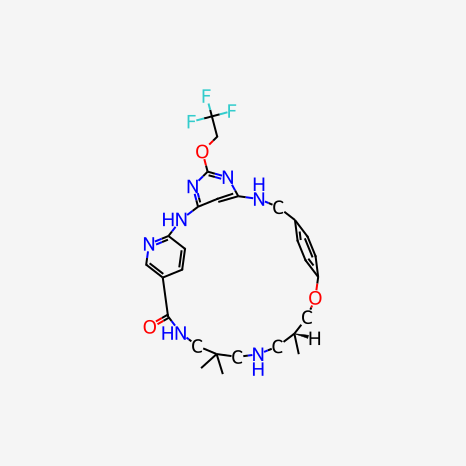 C[C@@H]1CNCC(C)(C)CNC(=O)c2ccc(nc2)Nc2cc(nc(OCC(F)(F)F)n2)NCc2ccc(cc2)OC1